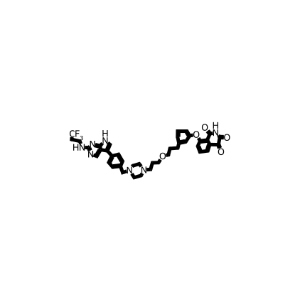 O=C1NC(=O)c2c(Oc3cccc(CCCOCCCN4CCN(Cc5ccc(-c6c[nH]c7nc(NCCC(F)(F)F)ncc67)cc5)CC4)c3)cccc2C1=O